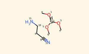 CO[SiH](OC)OC.N#CCCN